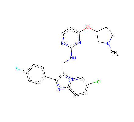 CN1CCC(Oc2ccnc(NCc3c(-c4ccc(F)cc4)nc4ccc(Cl)cn34)n2)C1